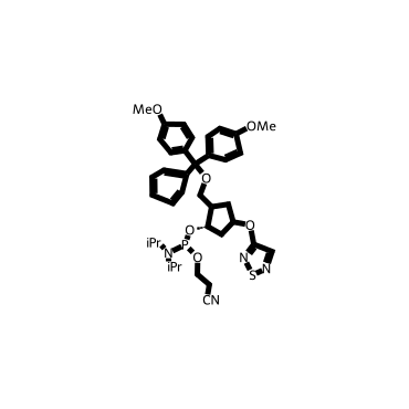 COc1ccc(C(OCC2CC(Oc3cnsn3)C[C@@H]2OP(OCCC#N)N(C(C)C)C(C)C)(c2ccccc2)c2ccc(OC)cc2)cc1